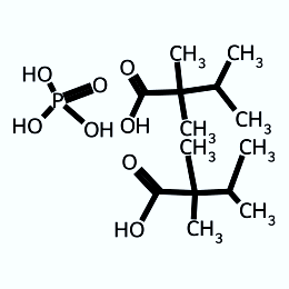 CC(C)C(C)(C)C(=O)O.CC(C)C(C)(C)C(=O)O.O=P(O)(O)O